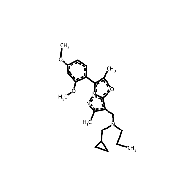 CCCN(Cc1c(C)nn2c(-c3ccc(OC)cc3OC)c(C)oc12)CC1CC1